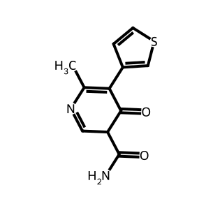 CC1=C(c2ccsc2)C(=O)C(C(N)=O)C=N1